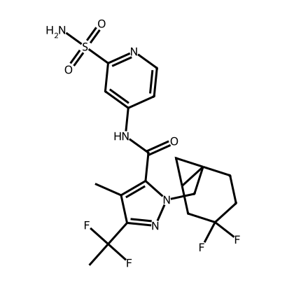 Cc1c(C(C)(F)F)nn(CC23CCC(F)(F)CC2C3)c1C(=O)Nc1ccnc(S(N)(=O)=O)c1